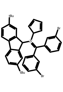 CC(C)(C)c1ccc2c(c1)[CH]([Zr](=[C](c1cccc(Br)c1)c1cccc(Br)c1)[CH]1C=CC=C1)c1cc(C(C)(C)C)ccc1-2